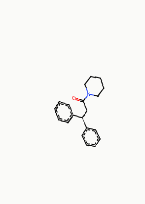 O=C(CC(c1ccccc1)c1ccccc1)N1CCCCC1